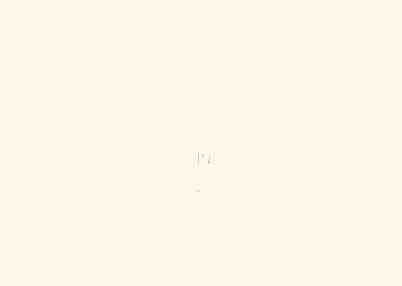 Cc1cccc(CNC(=O)C(CC(C)C)c2ccccc2)c1